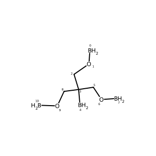 BOCC(B)(COB)COB